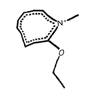 CCOc1cccc[n+]1C